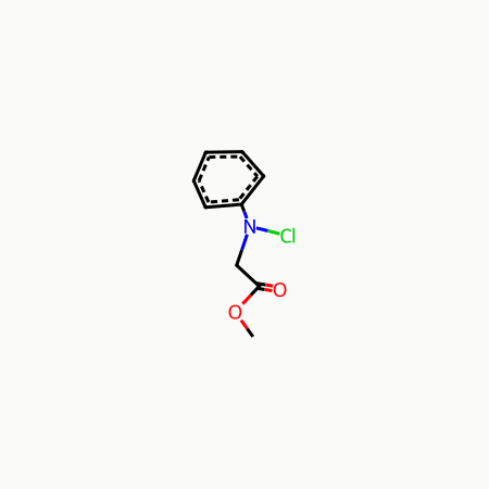 COC(=O)CN(Cl)c1ccccc1